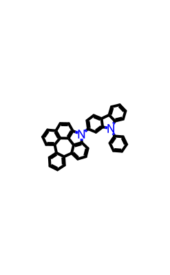 c1ccc(-n2c3ccccc3c3ccc(-n4c5cccc6c5c5c7c(cccc7ccc54)-c4ccccc4-6)cc32)cc1